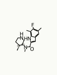 Cc1cc2cc(C(=O)N(C)[C@H]3CNCC[C@@H]3C)[nH]c2c(C)c1F